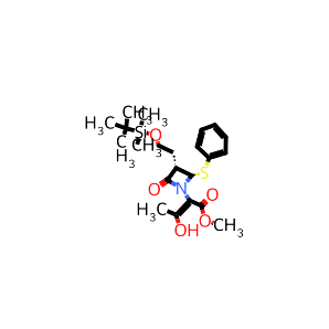 COC(=O)/C(=C(/C)O)N1C(=O)[C@H](CCO[Si](C)(C)C(C)(C)C)[C@H]1Sc1ccccc1